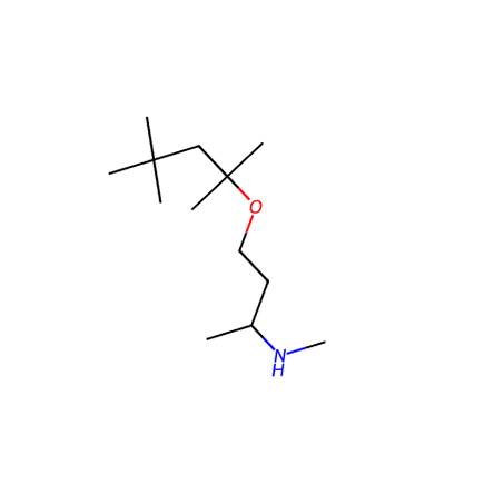 CNC(C)CCOC(C)(C)CC(C)(C)C